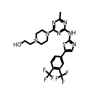 Cc1nc(Nc2ncc(-c3ccc(C(F)(F)F)c(C(F)(F)F)c3)s2)nc(N2CCN(CCO)CC2)n1